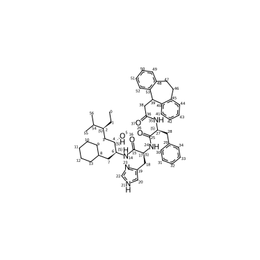 CC[C@@H](C[C@H](O)[C@H](CC1CCCCC1)NC(=O)[C@H](Cc1c[nH]cn1)NC(=O)[C@H](Cc1ccccc1)NC(=O)CC1c2ccccc2CCc2ccccc21)C(C)C